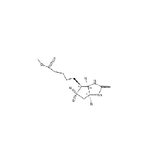 C=C1N[C@H]2[C@H](CS(=O)(=O)[C@H]2CCCCC(=O)OC)N1